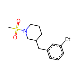 CCc1cccc(CC2CCCN(S(C)(=O)=O)C2)c1